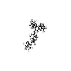 C=C1/C(=C\C=C2CCC[C@]3(C)[C@@H]([C@H](C)CCC(=O)N(C(C)C)C(C)C)CC[C@@H]23)C[C@H](O[Si](C(C)C)(C(C)C)C(C)C)C[C@H]1O[Si](C(C)C)(C(C)C)C(C)C